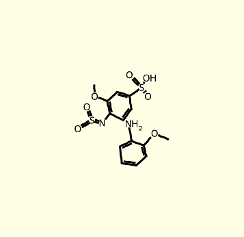 COc1cc(S(=O)(=O)O)ccc1N=S(=O)=O.COc1ccccc1N